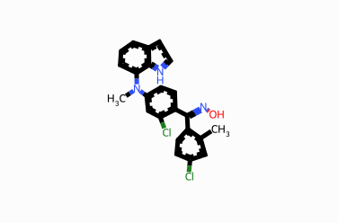 Cc1cc(Cl)ccc1C(=NO)c1ccc(N(C)c2cccc3cc[nH]c23)cc1Cl